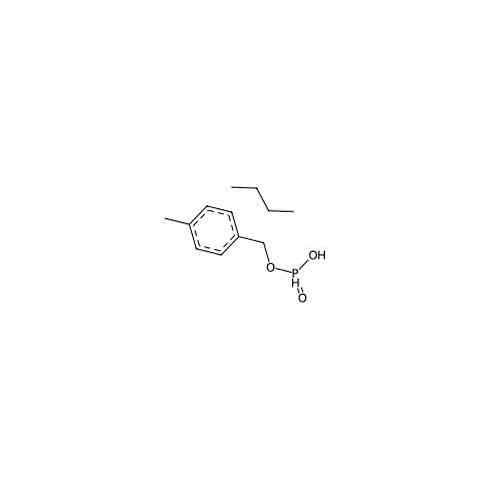 CCCC.Cc1ccc(CO[PH](=O)O)cc1